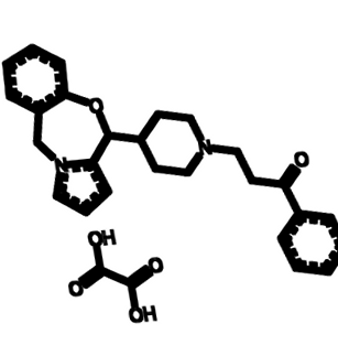 O=C(CCN1CCC(C2Oc3ccccc3Cn3cccc32)CC1)c1ccccc1.O=C(O)C(=O)O